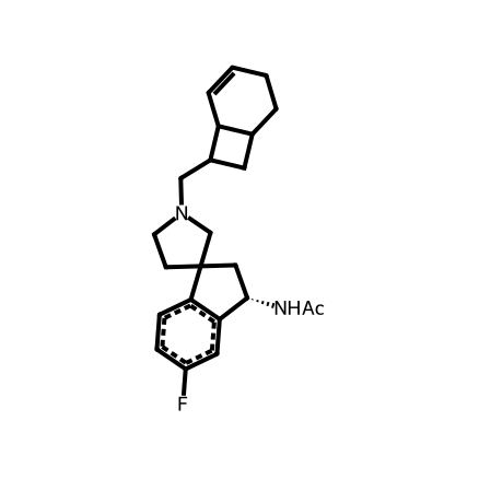 CC(=O)N[C@H]1CC2(CCN(CC3CC4CCC=CC43)C2)c2ccc(F)cc21